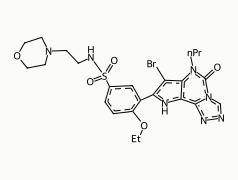 CCCn1c(=O)n2cnnc2c2[nH]c(-c3cc(S(=O)(=O)NCCN4CCOCC4)ccc3OCC)c(Br)c21